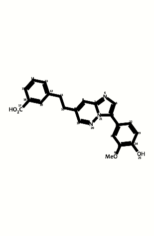 COc1cc(-c2cnc3cc(CCc4cccc(C(=O)O)c4)cnn23)ccc1O